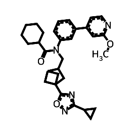 COc1cc(-c2cccc(N(CC3CC4(c5nc(C6CC6)no5)CC3C4)C(=O)C3CCCCC3)c2)ccn1